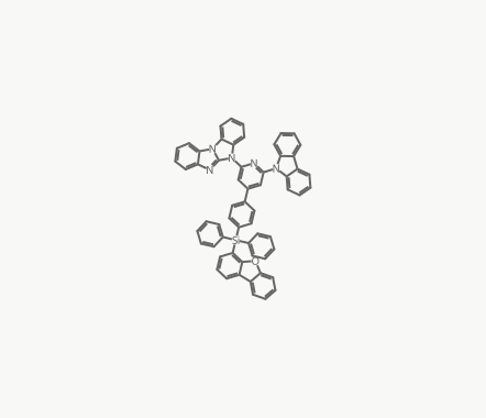 c1ccc([Si](c2ccccc2)(c2ccc(-c3cc(-n4c5ccccc5c5ccccc54)nc(-n4c5ccccc5n5c6ccccc6nc45)c3)cc2)c2cccc3c2oc2ccccc23)cc1